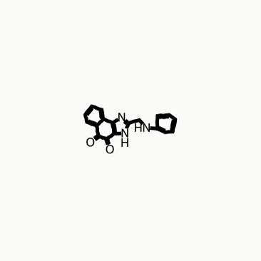 O=C1C(=O)c2[nH]c(CNc3ccccc3)nc2-c2ccccc21